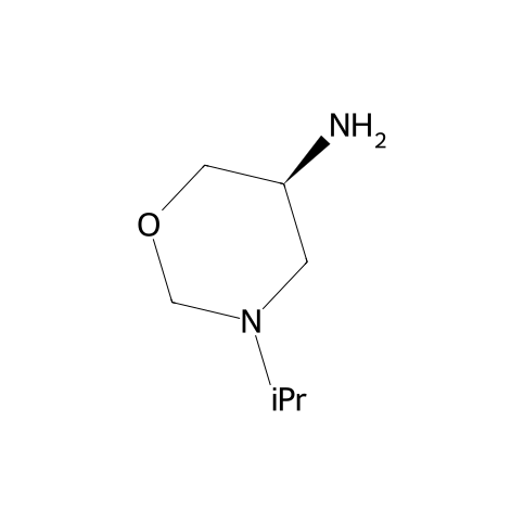 CC(C)N1COC[C@@H](N)C1